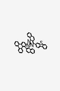 c1ccc2c(c1)ccc1c(-c3ccc4c(c3)sc3ccccc34)nc(-n3c4ccc5c6ccccc6c6ccccc6c5c4c4ccc5ccccc5c43)nc12